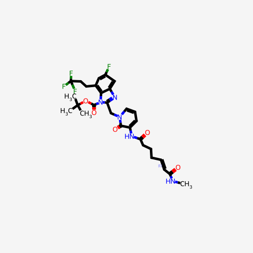 CNC(=O)/C=C/CCCC(=O)Nc1cccn(Cc2nc3cc(F)cc(CCC(F)(F)F)c3n2C(=O)OC(C)(C)C)c1=O